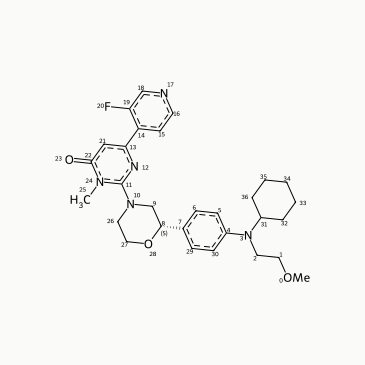 COCCN(c1ccc([C@H]2CN(c3nc(-c4ccncc4F)cc(=O)n3C)CCO2)cc1)C1CCCCC1